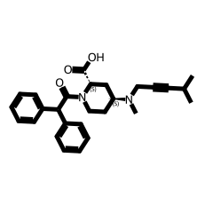 CC(C)C#CCN(C)[C@H]1CCN(C(=O)C(c2ccccc2)c2ccccc2)[C@H](C(=O)O)C1